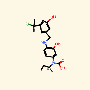 CC[C@H](C)N(C(=O)O)c1ccc(NCc2cc(O)cc(C(C)(C)Cl)c2)c(O)c1